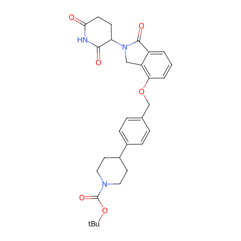 CC(C)(C)OC(=O)N1CCC(c2ccc(COc3cccc4c3CN(C3CCC(=O)NC3=O)C4=O)cc2)CC1